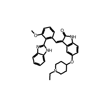 CCN1CCC(Oc2ccc3c(c2)/C(=C/c2cccc(OC)c2-c2nc4ccccc4[nH]2)C(=O)N3)CC1